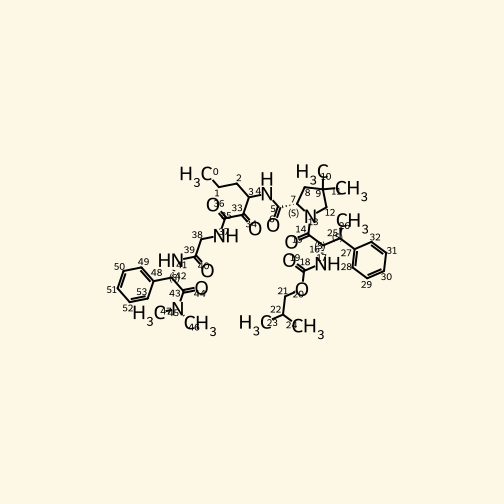 CCCC(NC(=O)[C@@H]1CC(C)(C)CN1C(=O)[C@@H](NC(=O)OCC(C)C)[C@@H](C)c1ccccc1)C(=O)C(=O)NCC(=O)N[C@H](C(=O)N(C)C)c1ccccc1